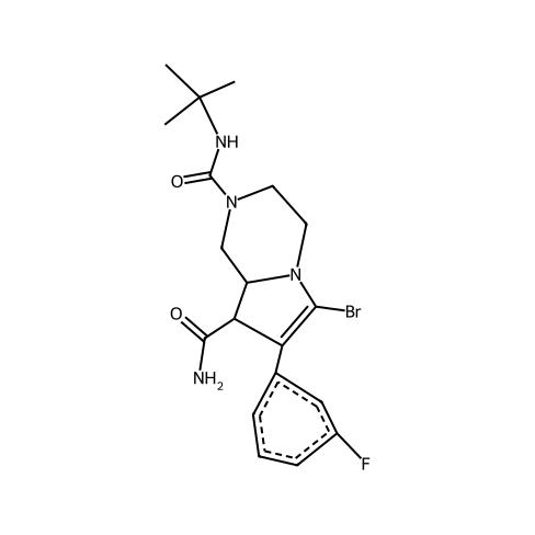 CC(C)(C)NC(=O)N1CCN2C(Br)=C(c3cccc(F)c3)C(C(N)=O)C2C1